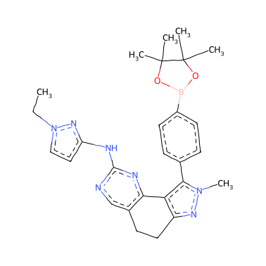 CCn1ccc(Nc2ncc3c(n2)-c2c(nn(C)c2-c2ccc(B4OC(C)(C)C(C)(C)O4)cc2)CC3)n1